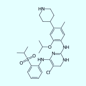 Cc1cc(NC2=NC(Nc3ccccc3S(=O)(=O)C(C)C)=C(Cl)CN2)c(OC(C)C)cc1C1CCNCC1